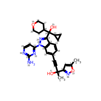 Cc1cc(C(C)(O)C#Cc2ccc3c(C(O)(C4CCOCC4)C4CC4)nn(-c4ccnc(N)n4)c3c2)no1